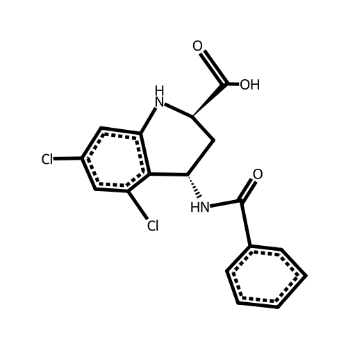 O=C(N[C@H]1C[C@H](C(=O)O)Nc2cc(Cl)cc(Cl)c21)c1ccccc1